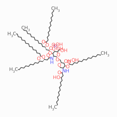 CCCCCCCCCCCCCCC(=O)O[C@H](CCCCCCCCCCCC)CC(=O)NC1C(OC(=O)C[C@@H](CCCCCCCCCCCC)OC(=O)CCCCCCCCCCCCCC)[C@H](OP(=O)(O)O)C(CO)O[C@H]1OCC1OCC(NC(=O)C[C@H](O)CCCCCCCCCCCC)C(OC(=O)C[C@H](O)CCCCCCCCCCCC)[C@@H]1O